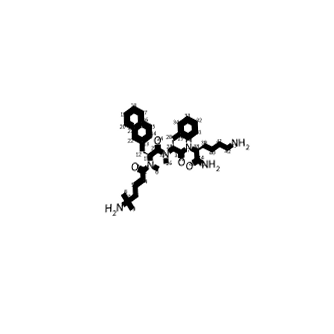 CN(C(=O)C=CCC(C)(C)N)[C@H](Cc1ccc2ccccc2c1)C(=O)N(C)[C@H](Cc1ccccc1)C(=O)N[C@@H](CCCCN)C(N)=O